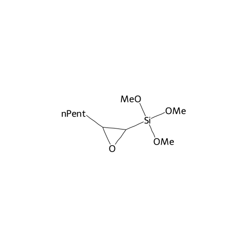 CCCCCC1OC1[Si](OC)(OC)OC